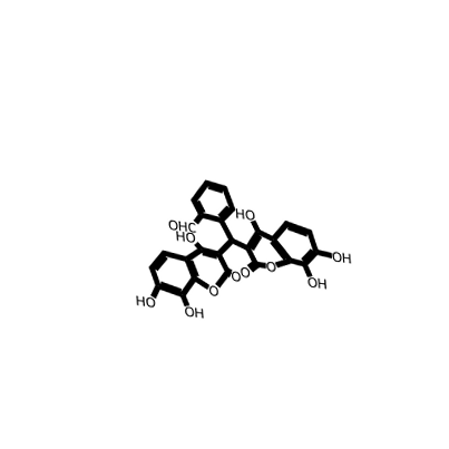 O=Cc1ccccc1C(c1c(O)c2ccc(O)c(O)c2oc1=O)c1c(O)c2ccc(O)c(O)c2oc1=O